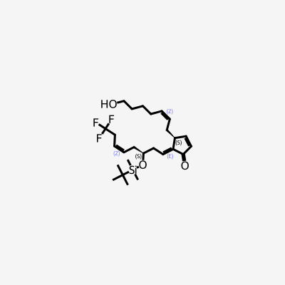 CC(C)(C)[Si](C)(C)O[C@@H](C/C=C\CC(F)(F)F)C/C=C1/C(=O)C=C[C@@H]1C/C=C\CCCCO